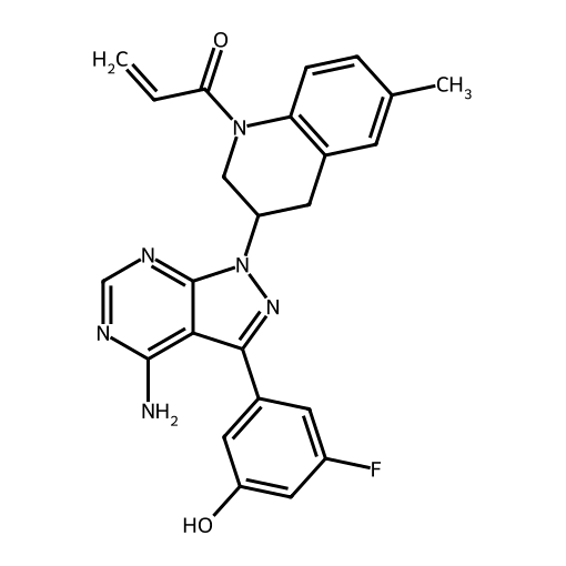 C=CC(=O)N1CC(n2nc(-c3cc(O)cc(F)c3)c3c(N)ncnc32)Cc2cc(C)ccc21